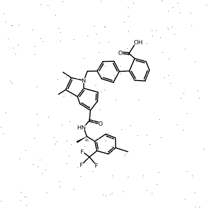 Cc1ccc([C@@H](C)NC(=O)c2ccc3c(c2)c(C)c(C)n3Cc2ccc(-c3ccccc3C(=O)O)cc2)c(C(F)(F)F)c1